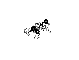 CSC1CCC(NCC(O)C(Cc2cc(F)cc(F)c2)NC(C)=O)(c2cccc(C(C)(C)C)c2)CC1